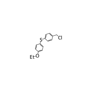 CCOc1ccc(Sc2ccc(CCl)cc2)cc1